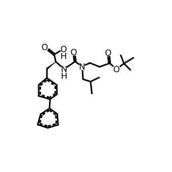 CC(C)CN(CCC(=O)OC(C)(C)C)C(=O)N[C@@H](Cc1ccc(-c2ccccc2)cc1)C(=O)O